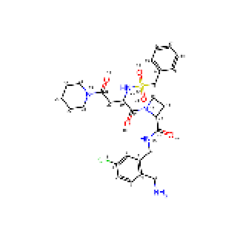 NCc1ccc(Cl)cc1CNC(=O)[C@@H]1CCN1C(=O)C(CC(=O)N1CCCCC1)NS(=O)(=O)Cc1ccccc1